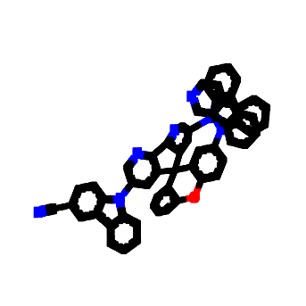 N#Cc1ccc2c(c1)c1ccccc1n2-c1cnc2c(c1)C1(c3ccccc3Oc3ccc(-n4c5ccccc5c5ccncc54)cc31)c1cc(-n3c4ccccc4c4ccccc43)cnc1-2